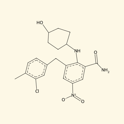 Cc1ccc(Cc2cc([N+](=O)[O-])cc(C(N)=O)c2NC2CCC(O)CC2)cc1Cl